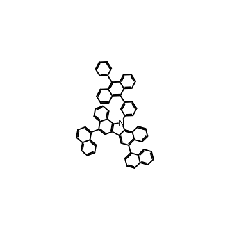 c1ccc(-c2c3ccccc3c(-c3cccc(-n4c5c6ccccc6c(-c6cccc7ccccc67)cc5c5cc(-c6cccc7ccccc67)c6ccccc6c54)c3)c3ccccc23)cc1